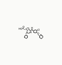 O=C(O)CS1=C2C(=C(Nc3ccc(OCc4ccccn4)c(Cl)c3)N=CN2Cc2ccccc2)C=C1